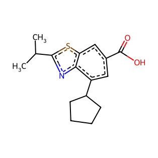 CC(C)c1nc2c(C3CCCC3)cc(C(=O)O)cc2s1